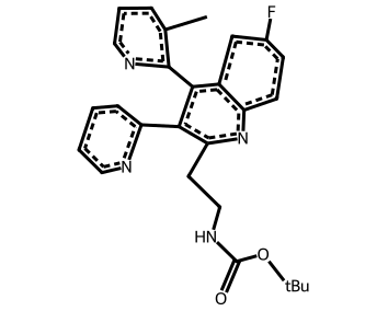 Cc1cccnc1-c1c(-c2ccccn2)c(CCNC(=O)OC(C)(C)C)nc2ccc(F)cc12